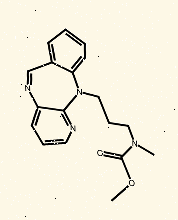 COC(=O)N(C)CCCN1c2ccccc2C=Nc2cccnc21